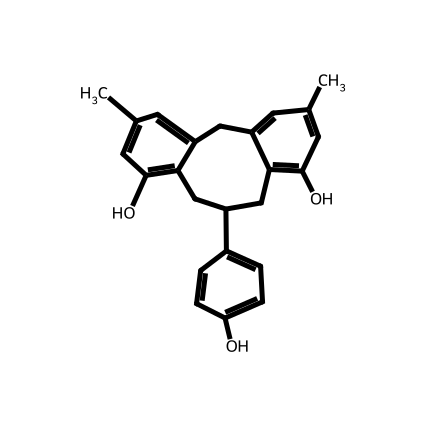 Cc1cc(O)c2c(c1)Cc1cc(C)cc(O)c1CC(c1ccc(O)cc1)C2